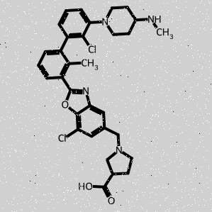 CNC1CCN(c2cccc(-c3cccc(-c4nc5cc(CN6CCC(C(=O)O)C6)cc(Cl)c5o4)c3C)c2Cl)CC1